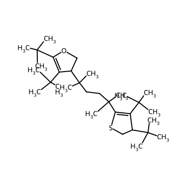 CC(C)(C)C1=C(C(C)(C)C)C(C(C)(C)CCC(C)(C)C2=C(C(C)(C)C)C(C(C)(C)C)CS2)CO1